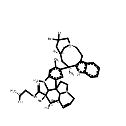 CCC1(O)C[C@H]2C[N@](CCc3c([nH]c4ccccc34)[C@@](C)(c3cc4c(cc3C)N(C)C3C45CCN4CC=C[C@](CC)(C45)[C@@H](O)[C@]3(O)C(=O)NC[C@@H](C)O)C2)C1